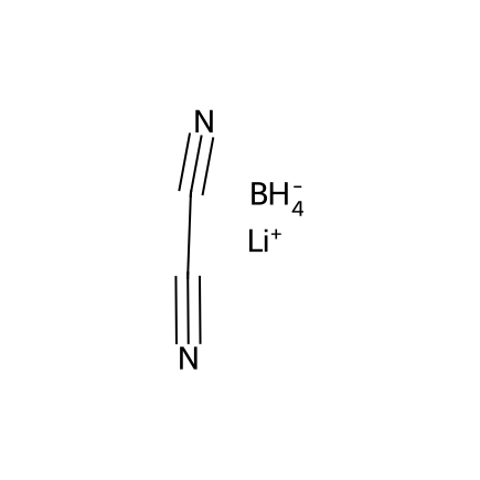 N#CC#N.[BH4-].[Li+]